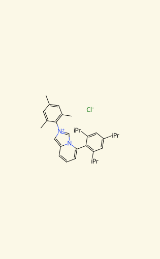 Cc1cc(C)c(-[n+]2cc3cccc(-c4c(C(C)C)cc(C(C)C)cc4C(C)C)n3c2)c(C)c1.[Cl-]